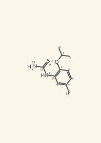 CC(C)Oc1ccc(F)cc1NC(N)=S